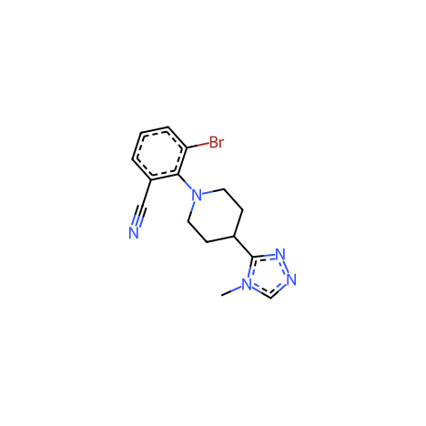 Cn1cnnc1C1CCN(c2c(Br)cccc2C#N)CC1